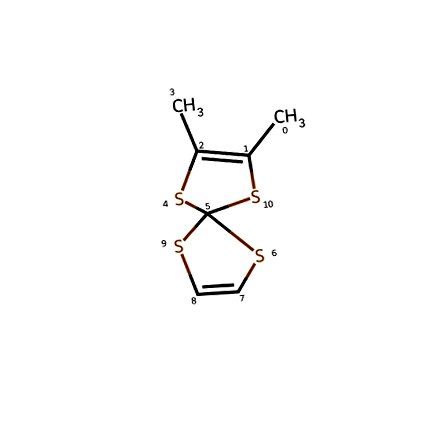 CC1=C(C)SC2(SC=CS2)S1